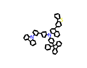 c1ccc(C2(c3ccc(N(c4ccc(-c5cccc(-n6c7ccccc7c7ccccc76)c5)cc4)c4ccc(-c5ccc6sc7ccccc7c6c5)c5ccccc45)cc3)c3ccccc3-c3ccccc32)cc1